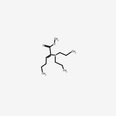 CCCC=C(C(=O)OC)N(CCC)CCC